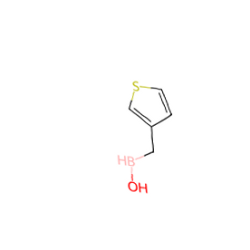 OBCc1ccsc1